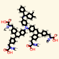 [C-]#[N+]/C(=C\c1ccc(C(=Cc2ccc(N(c3ccc(C=C(c4ccc(/C=C(\[N+]#[C-])C(=O)O)cc4)c4ccc(/C=C(\[N+]#[C-])C(=O)O)cc4)cc3)c3ccc(/C=C(/c4ccccc4)c4ccc(C)c(C)c4)cc3)cc2)c2ccc(/C=C(\[N+]#[C-])C(=O)O)cc2)cc1)C(=O)O